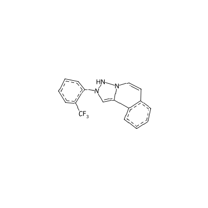 FC(F)(F)c1ccccc1N1C=C2c3ccccc3C=CN2N1